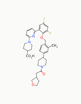 Cc1cc(C2CCN(C(=O)CC3CCOC3)CC2)ccc1COc1c(F)cc(F)cc1-c1cccc(N2CCC(C(=O)O)CC2)n1